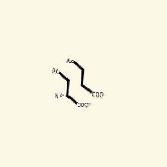 CC(=O)CCC(=O)[O-].CC(=O)CCC(=O)[O-].[Ni+2]